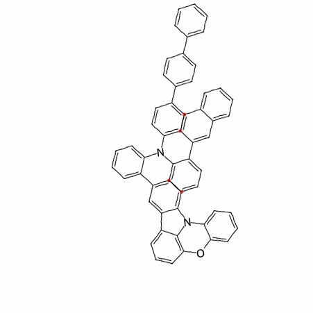 c1ccc(-c2ccc(-c3ccc(N(c4ccccc4-c4ccc5ccccc5c4)c4ccccc4-c4ccc5c(c4)c4cccc6c4n5-c4ccccc4O6)cc3)cc2)cc1